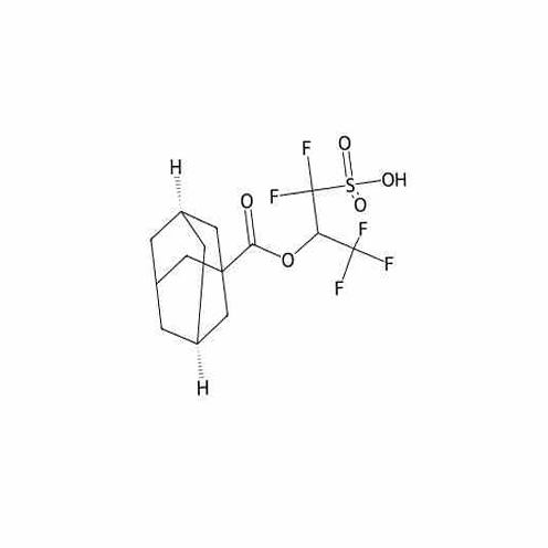 O=C(OC(C(F)(F)F)C(F)(F)S(=O)(=O)O)C12CC3C[C@H](C1)C[C@@H](C3)C2